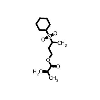 C=C(C)C(=O)OCCC(C)S(=O)(=O)C1CCCCC1